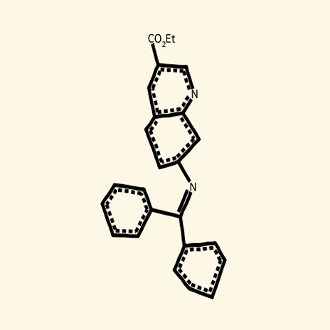 CCOC(=O)c1cnc2cc(N=C(c3ccccc3)c3ccccc3)ccc2c1